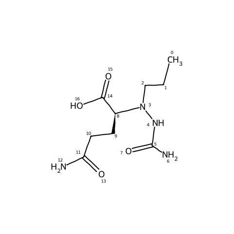 CCCN(NC(N)=O)[C@@H](CCC(N)=O)C(=O)O